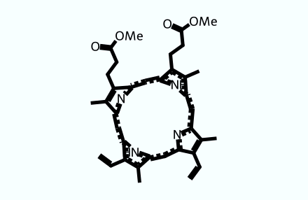 C=CC1=C(C)c2cc3[nH]c(cc4nc(cc5[nH]c(cc1n2)c(C)c5C=C)C(C)=C4CCC(=O)OC)c(CCC(=O)OC)c3C